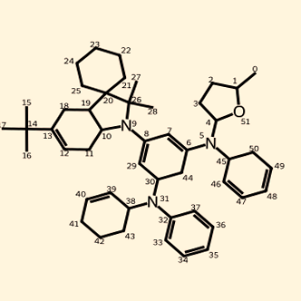 CC1CCC(N(C2=CC(N3C4CC=C(C(C)(C)C)CC4C4(CCCCC4)C3(C)C)=CC(N(c3ccccc3)C3C=CCCC3)C2)C2C=CC=CC2)O1